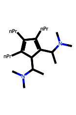 CCCC1=C(CCC)C(C(C)N(C)C)C(C(C)N(C)C)=C1CCC